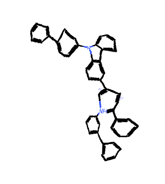 C=C(/C=C\C(=C/Nc1cccc(-c2ccccc2)c1)c1ccc2c(c1)c1ccccc1n2-c1ccc(-c2ccccc2)cc1)c1ccccc1